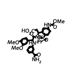 COC(=O)Nc1ccc(S(=O)(=O)C(C)C)c(C(CC(=O)O)NC(=O)C(Nc2cccc(C(N)=O)c2)c2ccc(OC)c(OC)c2)c1